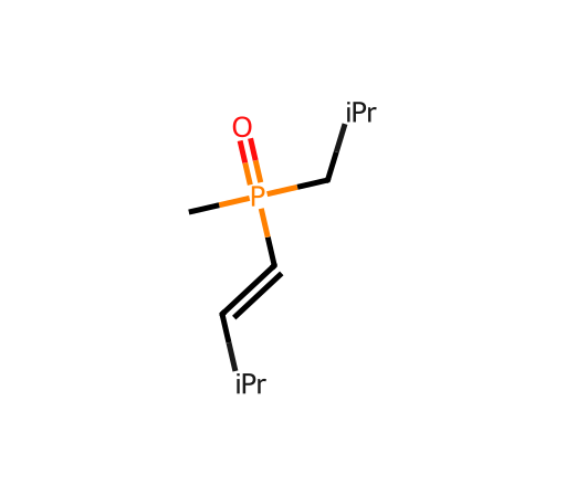 CC(C)/C=C/P(C)(=O)CC(C)C